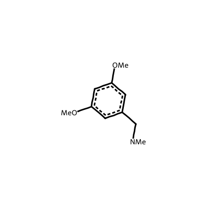 CNCc1cc(OC)cc(OC)c1